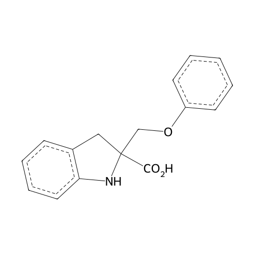 O=C(O)C1(COc2ccccc2)Cc2ccccc2N1